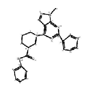 Cn1ncc2c(N3CCC[C@H](C(=O)Nc4ccccc4)C3)nc(-c3cccnc3)nc21